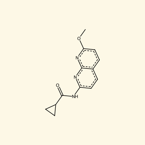 COc1ccc2ccc(NC(=O)C3CC3)nc2n1